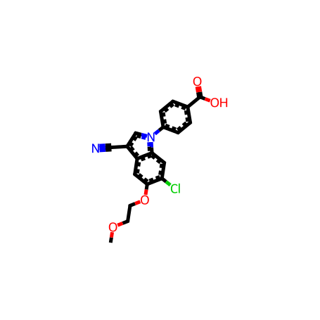 COCCOc1cc2c(C#N)cn(-c3ccc(C(=O)O)cc3)c2cc1Cl